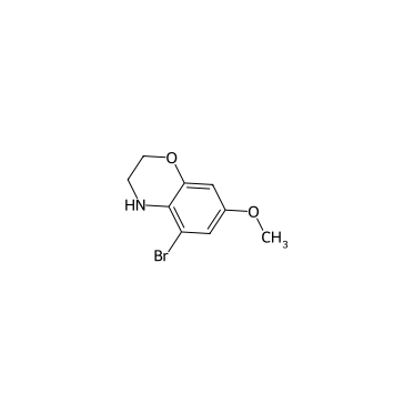 COc1cc(Br)c2c(c1)OCCN2